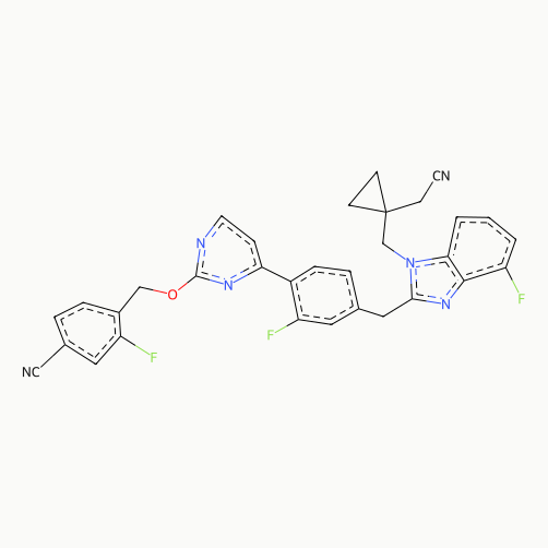 N#CCC1(Cn2c(Cc3ccc(-c4ccnc(OCc5ccc(C#N)cc5F)n4)c(F)c3)nc3c(F)cccc32)CC1